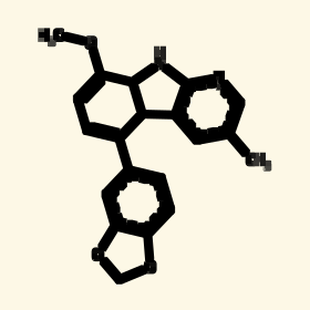 COC1=CC=C(c2ccc3c(c2)OCO3)C2c3cc(C)cnc3NC12